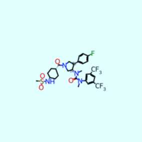 CN(C(=O)N(C)[C@@H]1CN(C(=O)[C@H]2CC[C@H](NS(C)(=O)=O)CC2)C[C@H]1c1ccc(F)cc1)c1cc(C(F)(F)F)cc(C(F)(F)F)c1